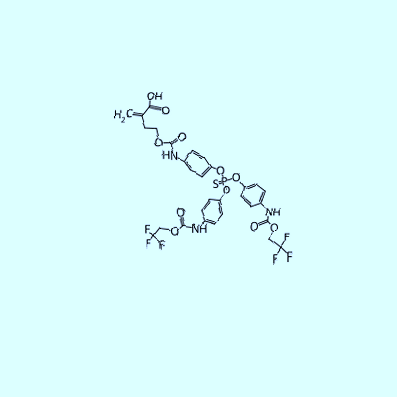 C=C(CCOC(=O)Nc1ccc(OP(=S)(Oc2ccc(NC(=O)OCC(F)(F)F)cc2)Oc2ccc(NC(=O)OCC(F)(F)F)cc2)cc1)C(=O)O